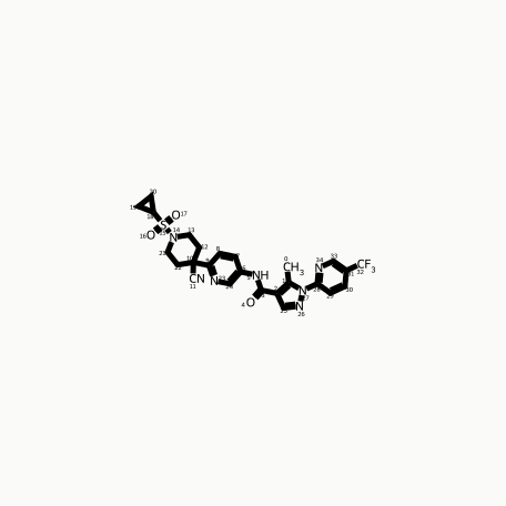 Cc1c(C(=O)Nc2ccc(C3(C#N)CCN(S(=O)(=O)C4CC4)CC3)nc2)cnn1-c1ccc(C(F)(F)F)cn1